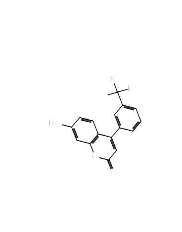 O=c1cc(-c2cccc(C(F)(F)F)c2)c2ccc(O)cc2o1